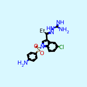 CCC(=NNC(=N)N)c1cn(S(=O)(=O)c2ccc(N)cc2)c2ccc(Cl)cc12